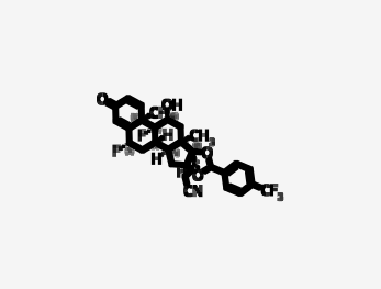 C[C@]12C=CC(=O)C=C1[C@@H](F)C[C@H]1[C@@H]3C[C@H]4OC(c5ccc(C(F)(F)F)cc5)O[C@@]4(SCC#N)[C@@]3(C)C[C@H](O)[C@@]12F